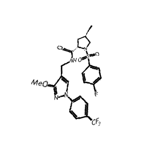 COc1nn(-c2ccc(C(F)(F)F)cc2)cc1CNC(=O)[C@@H]1C[C@@H](C)CN1S(=O)(=O)c1ccc(F)cc1